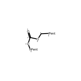 CCCCCOC(=O)OCC(C)CCC